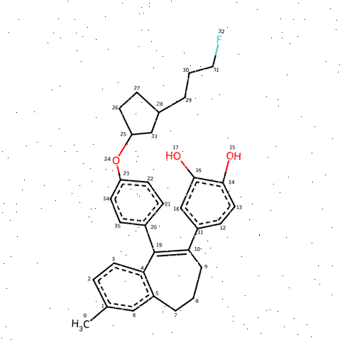 Cc1ccc2c(c1)CCCC(c1ccc(O)c(O)c1)=C2c1ccc(OC2CCC(CCCF)C2)cc1